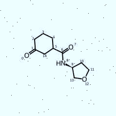 O=C1CCCC(C(=O)N[C@H]2CCOC2)C1